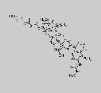 C/N=C(\I)Nc1nnc2c(c1C)CCCN2c1ccc(-c2cnn(C[C@]34C[C@]5(C)C[C@](C)(C3)C[C@@](OCCNCCCO)(C5)C4)c2C)c(C(=O)O)n1